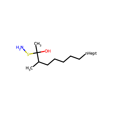 CCCCCCCCCCCCC(C)C(C)(O)SN